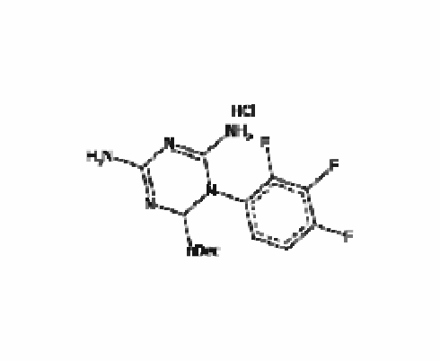 CCCCCCCCCCC1N=C(N)N=C(N)N1c1ccc(F)c(F)c1F.Cl